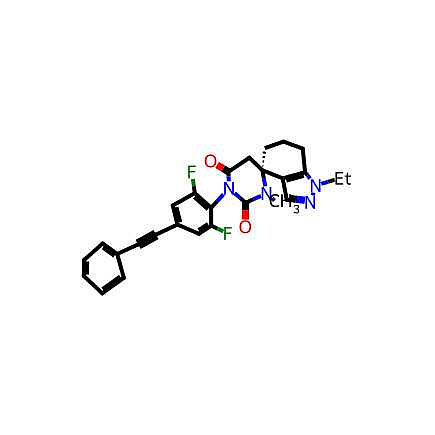 CCn1ncc2c1CCC[C@]21CC(=O)N(c2c(F)cc(C#Cc3ccccc3)cc2F)C(=O)N1C